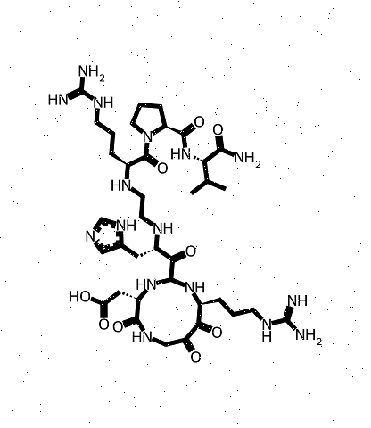 CC(C)[C@H](NC(=O)[C@@H]1CCCN1C(=O)[C@H](CCCNC(=N)N)NCCN[C@@H](Cc1cnc[nH]1)C(=O)C1N[C@@H](CC(=O)O)C(=O)NCC(=O)C(=O)[C@H](CCCNC(=N)N)N1)C(N)=O